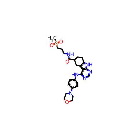 CS(=O)(=O)CCCNC(=O)C1CCc2[nH]c3ncnc(Nc4ccc(N5CCOCC5)cc4)c3c2C1